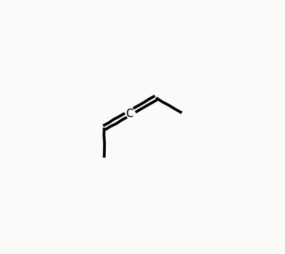 CC=C=CC